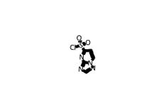 O=S(=O)(Cl)c1ccn2ncnc2n1